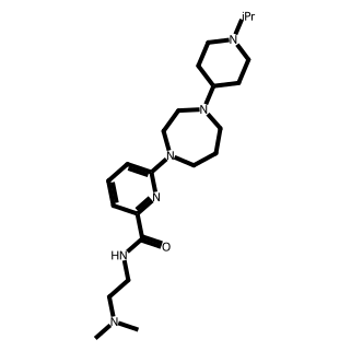 CC(C)N1CCC(N2CCCN(c3cccc(C(=O)NCCN(C)C)n3)CC2)CC1